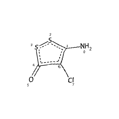 Nc1ssc(=O)c1Cl